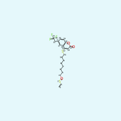 C=CSOCCCCCCCCSc1cc(=O)oc2ccc(CC(F)(F)F)cc12